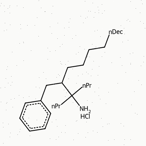 CCCCCCCCCCCCCCC(Cc1ccccc1)C(N)(CCC)CCC.Cl